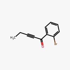 CCC#CC(=O)c1ccccc1Br